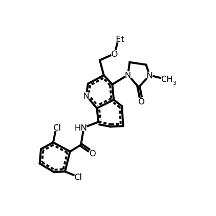 CCOCc1cnc2c(NC(=O)c3c(Cl)cccc3Cl)cccc2c1N1CCN(C)C1=O